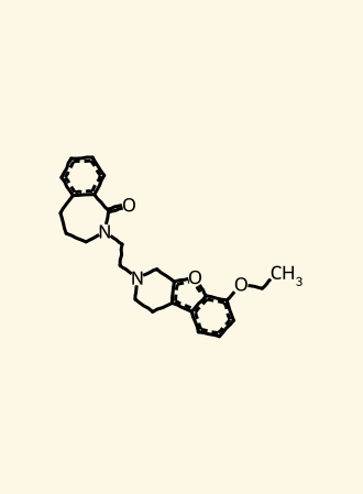 CCOc1cccc2c3c(oc12)CN(CCN1CCCc2ccccc2C1=O)CC3